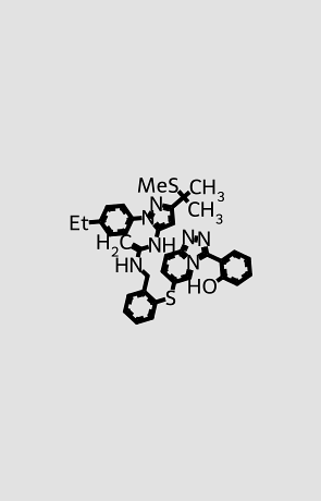 C=C(NCc1ccccc1Sc1ccc2nnc(-c3ccccc3O)n2c1)Nc1cc(C(C)(C)SC)nn1-c1ccc(CC)cc1